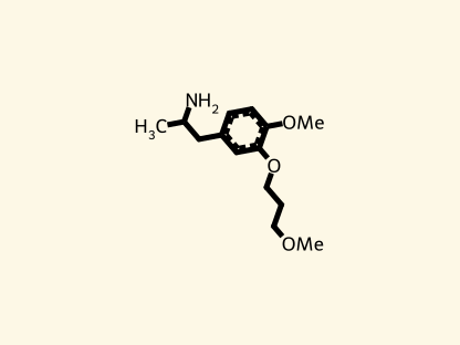 COCCCOc1cc(CC(C)N)ccc1OC